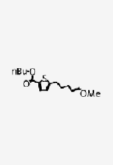 CCCCOC(=O)c1ccc(CCC/C=C/OC)s1